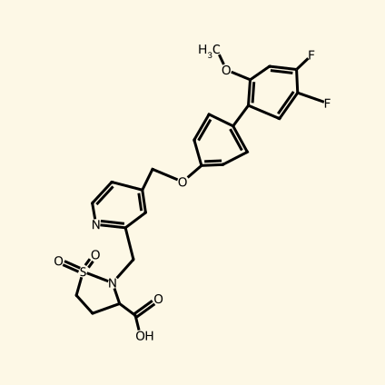 COc1cc(F)c(F)cc1-c1ccc(OCc2ccnc(CN3C(C(=O)O)CCS3(=O)=O)c2)cc1